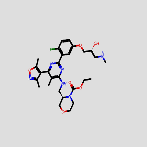 CCOC(=O)N1CCOC[C@H]1CNc1nc(-c2cc(OC[C@H](O)CNC)ccc2F)nc(-c2c(C)noc2C)c1C